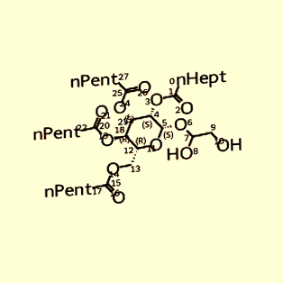 CCCCCCCC(=O)O[C@@H]1[C@H](OC(O)CO)O[C@H](COC(=O)CCCCC)[C@@H](OC(=O)CCCCC)[C@@H]1OC(=O)CCCCC